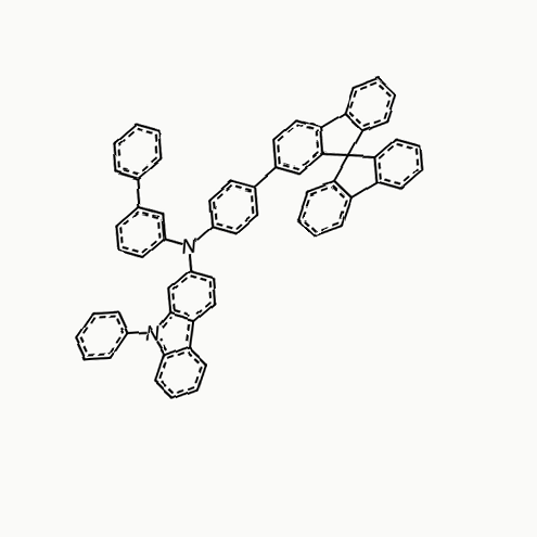 c1ccc(-c2cccc(N(c3ccc(-c4ccc5c(c4)C4(c6ccccc6-c6ccccc64)c4ccccc4-5)cc3)c3ccc4c5ccccc5n(-c5ccccc5)c4c3)c2)cc1